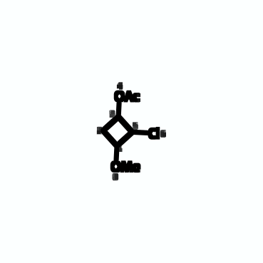 COC1CC(OC(C)=O)C1Cl